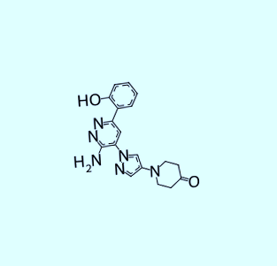 Nc1nnc(-c2ccccc2O)cc1-n1cc(N2CCC(=O)CC2)cn1